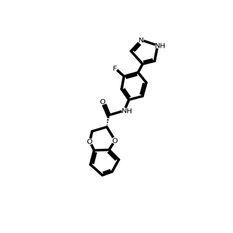 O=C(Nc1ccc(-c2cn[nH]c2)c(F)c1)[C@H]1COc2ccccc2O1